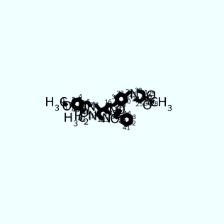 COc1ccc(CNCc2c(N)cnc3c2cc(-c2ccc(CN4CCC(S(C)(=O)=O)CC4)cc2)n3S(=O)(=O)c2ccccc2)c(OC)c1